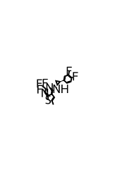 Cc1cc2c(N[C@@H]3C[C@H]3c3ccc(F)c(F)c3)nc(C(F)(F)F)nc2s1